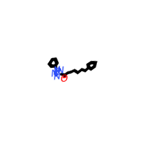 O=C(CCCCCCc1ccccc1)c1nnn(-c2ccccc2)n1